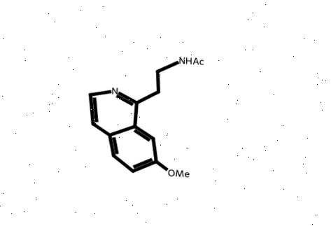 COc1ccc2ccnc(CCNC(C)=O)c2c1